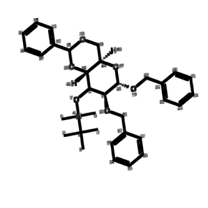 CC(C)(C)[Si](C)(C)OC1[C@H](OCc2ccccc2)[C@@H](OCc2ccccc2)O[C@@H]2COC(c3ccccc3)O[C@@H]12